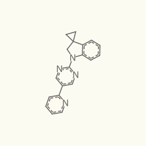 c1ccc(-c2cnc(N3CC4(CC4)c4ccccc43)nc2)nc1